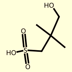 CC(C)(CO)CS(=O)(=O)O